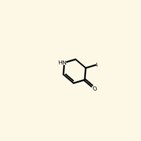 O=C1C=CNCC1I